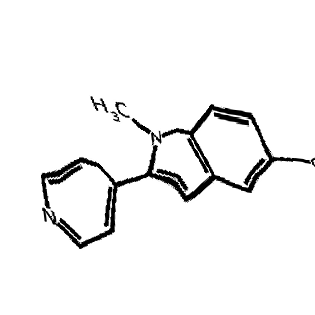 Cn1c(-c2ccncc2)cc2cc(Cl)ccc21